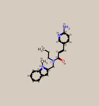 CCCN(Cc1cc2ccccc2n1C)C(=O)C=Cc1ccc(N)nc1